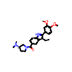 CCc1c(-c2ccc(OC)c(OC)c2)[nH]c2ccc(C(=O)N3CC[C@@H](N(C)C)C3)cc12